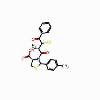 Cc1ccc(C2SC[C@@H](C(=O)O)N2C(=O)[C@H](C)C(S)C(=O)c2ccccc2)cc1